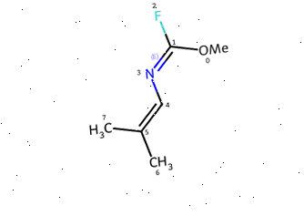 CO/C(F)=N\C=C(C)C